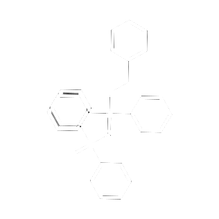 O=P(N=P(SCc1ccccc1)(c1ccccc1)c1ccccc1)(c1ccccc1)c1ccccc1